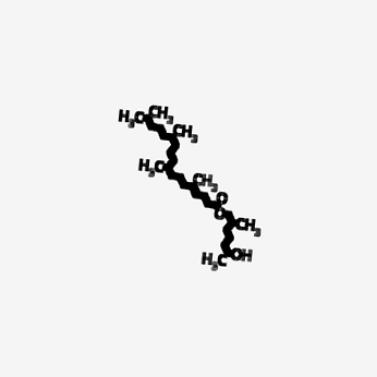 C/C(=C\CCC(=O)OCC(C)CCCC(C)O)CCCC(C)CCCC(C)CCCC(C)C